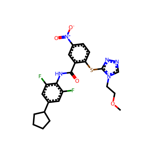 COCCn1cnnc1Sc1ccc([N+](=O)[O-])cc1C(=O)Nc1c(F)cc(C2CCCC2)cc1F